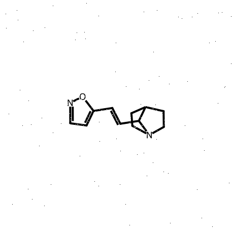 C(=CC1C2CCN1CC2)c1ccno1